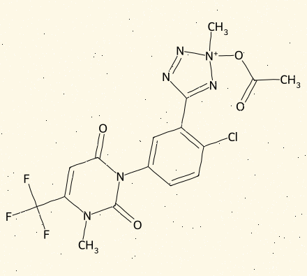 CC(=O)O[N+]1(C)N=NC(c2cc(-n3c(=O)cc(C(F)(F)F)n(C)c3=O)ccc2Cl)=N1